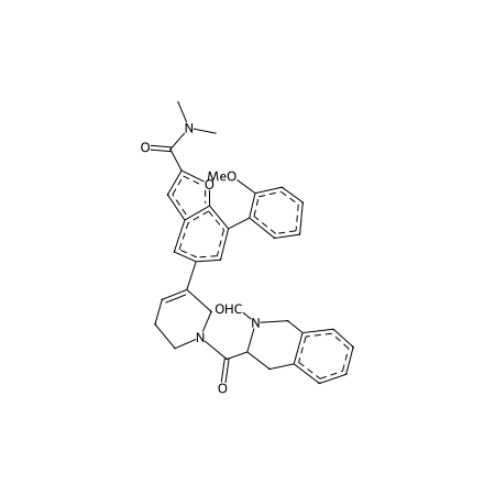 COc1ccccc1-c1cc(C2=CCCN(C(=O)C3Cc4ccccc4CN3C=O)C2)cc2cc(C(=O)N(C)C)oc12